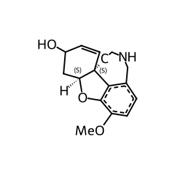 COc1ccc2c3c1O[C@H]1CC(O)C=C[C@@]31CCNC2